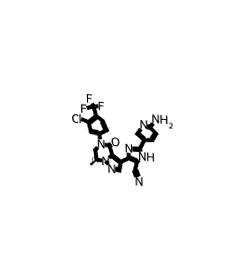 C[C@H]1CN(c2ccc(C(F)(F)F)c(Cl)c2)C(=O)c2c(-c3nc(-c4ccc(N)nc4)[nH]c3C#N)cnn21